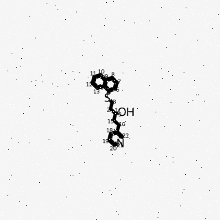 OC(CCSc1cccc2ccccc12)CCc1cccnc1